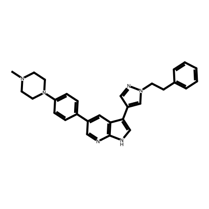 CN1CCN(c2ccc(-c3cnc4[nH]cc(-c5cnn(CCc6ccccc6)c5)c4c3)cc2)CC1